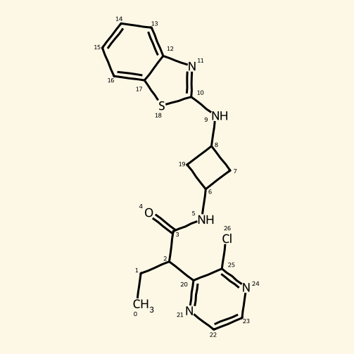 CCC(C(=O)NC1CC(Nc2nc3ccccc3s2)C1)c1nccnc1Cl